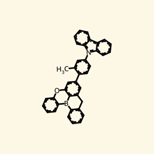 Cc1cc(-n2c3ccccc3c3ccccc32)ccc1-c1cc2c3c(c1)Oc1ccccc1B3c1ccccc1C2